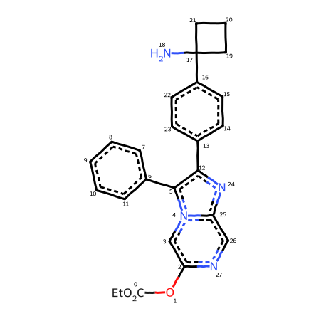 CCOC(=O)Oc1cn2c(-c3ccccc3)c(-c3ccc(C4(N)CCC4)cc3)nc2cn1